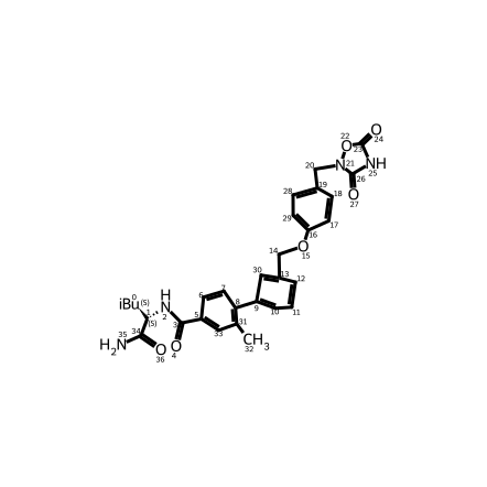 CC[C@H](C)[C@H](NC(=O)c1ccc(-c2cccc(COc3ccc(Cn4oc(=O)[nH]c4=O)cc3)c2)c(C)c1)C(N)=O